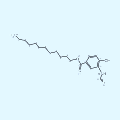 CCCCCCCCCCCCOC(=O)c1ccc(Cl)c(NC=O)c1